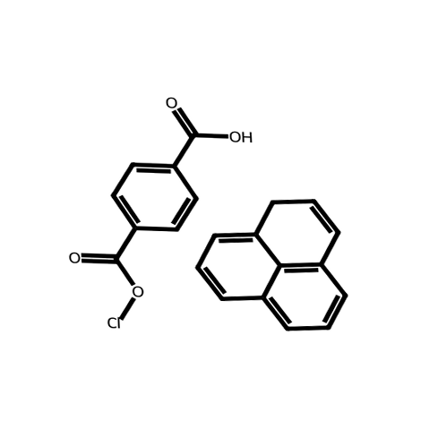 C1=Cc2cccc3cccc(c23)C1.O=C(O)c1ccc(C(=O)OCl)cc1